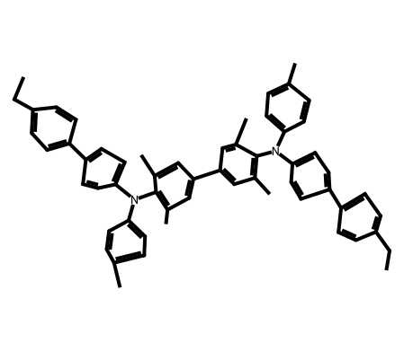 CCc1ccc(-c2ccc(N(c3ccc(C)cc3)c3c(C)cc(-c4cc(C)c(N(c5ccc(C)cc5)c5ccc(-c6ccc(CC)cc6)cc5)c(C)c4)cc3C)cc2)cc1